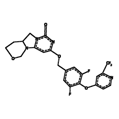 O=c1nc(OCc2cc(F)c(Oc3ccnc(C(F)(F)F)c3)c(F)c2)cc2n1CC1CCOCN21